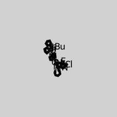 CC(C)(C)[Si](OC[C@@H]1CC[C@]2(COc3nc(N4CCCCCC4)c4cnc(Cl)c(F)c4n3)CCCN12)(c1ccccc1)c1ccccc1